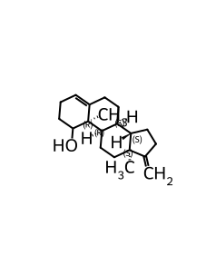 C=C1CC[C@H]2[C@@H]3CCC4=CCCC(O)[C@]4(C)[C@@H]3CC[C@]12C